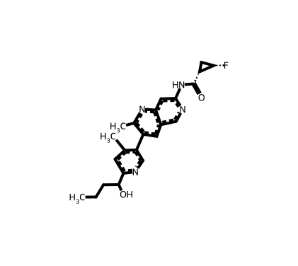 CCCC(O)c1cc(C)c(-c2cc3cnc(NC(=O)[C@@H]4C[C@@H]4F)cc3nc2C)cn1